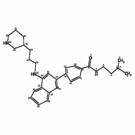 CN(C)CCNC(=O)c1ccc(-c2cc(NCCCC3CCCNC3)c3ccccc3n2)cc1